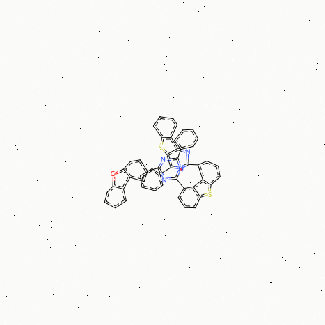 c1ccc(-c2nc(-c3ccc4oc5ccccc5c4c3)nc(-c3cccc4sc5cccc(-c6nc(-c7ccccc7)c7sc8ccccc8c7n6)c5c34)n2)cc1